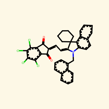 O=C1C(=C/C=C2/N(Cc3cccc4ccccc34)c3ccc4ccccc4c3C23CCCCC3)C(=O)c2c(Cl)c(Cl)c(Cl)c(Cl)c21